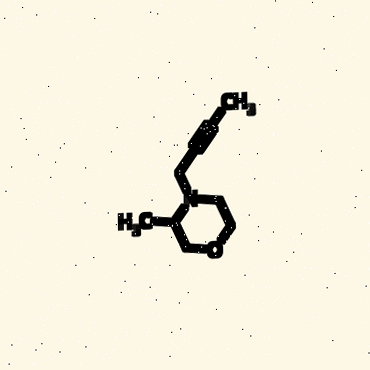 CC#CCN1CCOCC1C